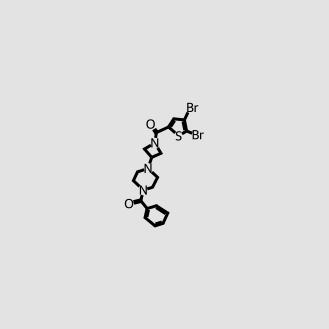 O=C(c1ccccc1)N1CCN(C2CN(C(=O)c3cc(Br)c(Br)s3)C2)CC1